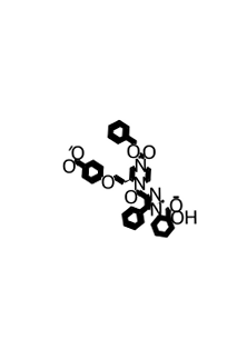 COC[C@]1(O)CCCC[C@H]1n1cnc(C(=O)N2CCN(C(=O)OCc3ccccc3)C[C@H]2CCOc2ccc(C(=O)OC)cc2)c1-c1ccccc1